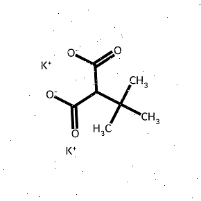 CC(C)(C)C(C(=O)[O-])C(=O)[O-].[K+].[K+]